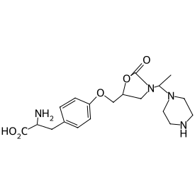 CC(N1CCNCC1)N1CC(COc2ccc(CC(N)C(=O)O)cc2)OC1=O